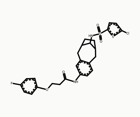 O=C(CCOc1ccc(F)cc1)Nc1ccc2c(c1)CC1CCC(C2)C1NS(=O)(=O)c1ccc(Cl)s1